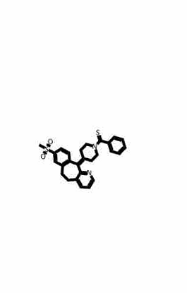 CS(=O)(=O)c1ccc2c(c1)CCc1cccnc1C2=C1CCN(C(=S)c2ccccc2)CC1